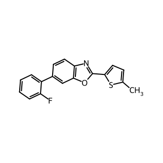 Cc1ccc(-c2nc3ccc(-c4ccccc4F)cc3o2)s1